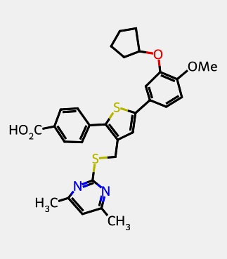 COc1ccc(-c2cc(CSc3nc(C)cc(C)n3)c(-c3ccc(C(=O)O)cc3)s2)cc1OC1CCCC1